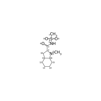 CN1C(C(=O)NS(C)(=O)=O)CC2CCCCC21